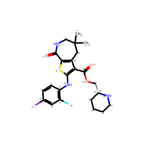 CC1(C)CNC(=O)c2sc(Nc3ccc(I)cc3F)c(C(=O)OC[C@H]3CCCCN3)c2C1